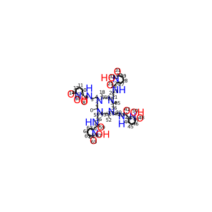 C[C@H]1CN(CCNC(=O)c2cccc(=O)n2O)[C@@H](C)CN(CCNC(=O)c2cccc(=O)n2O)[C@@H](C)CN(CCNC(=O)c2cccc(=O)n2O)[C@@H](C)CN1CCNC(=O)c1cccc(=O)n1O